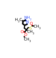 CCOC(=O)C(C)(CSC(C)=O)Cc1cnc(N)c(C)c1